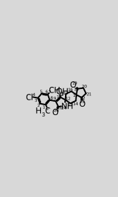 Cc1cc(Cl)cc(C)c1C1=C(O)C2(CCC3(CC2)C(=O)CCC3=O)NC1=O